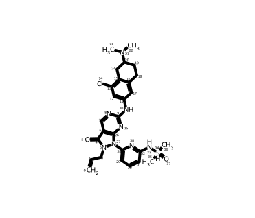 C=CCn1c(=O)c2cnc(Nc3cc(Cl)c4c(c3)CCC(N(C)C)C4)nc2n1-c1cccc(N[SH](C)(C)=O)n1